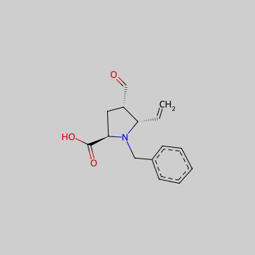 C=C[C@H]1[C@@H](C=O)C[C@H](C(=O)O)N1Cc1ccccc1